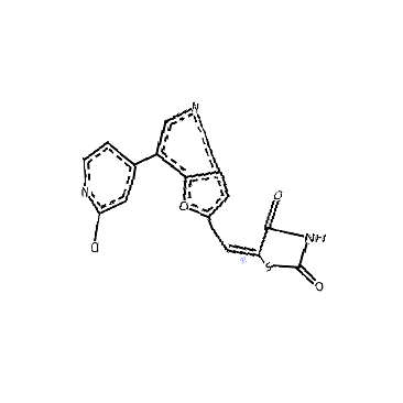 O=C1NC(=O)/C(=C\c2cc3cncc(-c4ccnc(Cl)c4)c3o2)S1